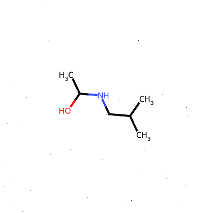 CC(C)[CH]NC(C)O